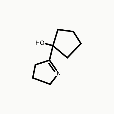 OC1(C2=NCCC2)CCCC1